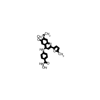 COc1cc2nc(-c3ccc(C)o3)cc(Nc3ccc(C(=O)NO)cc3)c2cc1OC